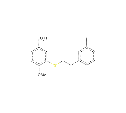 COc1ccc(C(=O)O)cc1SCCc1cccc(C)c1